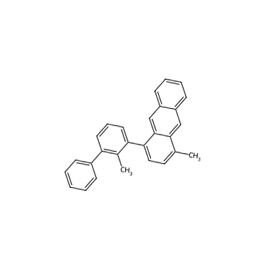 Cc1c(-c2ccccc2)cccc1-c1ccc(C)c2cc3ccccc3cc12